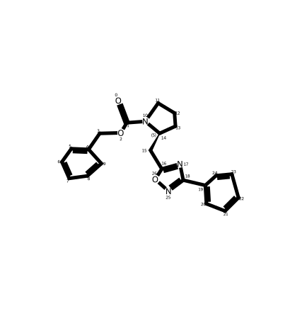 O=C(OCc1ccccc1)N1CCC[C@H]1Cc1nc(-c2ccccc2)no1